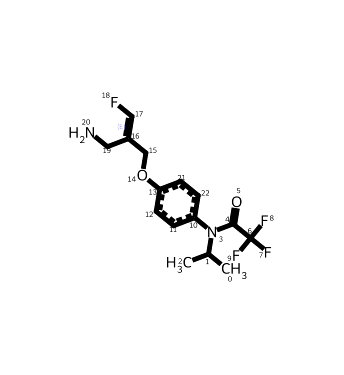 CC(C)N(C(=O)C(F)(F)F)c1ccc(OC/C(=C/F)CN)cc1